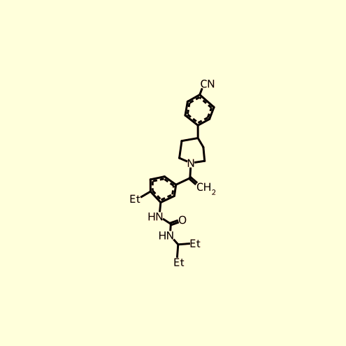 C=C(c1ccc(CC)c(NC(=O)NC(CC)CC)c1)N1CCC(c2ccc(C#N)cc2)CC1